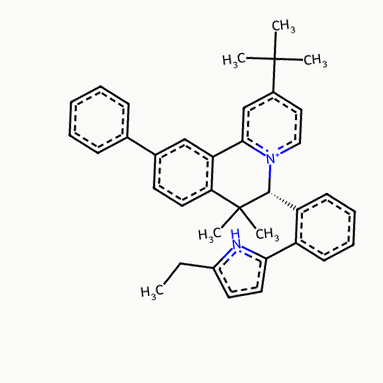 CCc1ccc(-c2ccccc2[C@H]2[n+]3ccc(C(C)(C)C)cc3-c3cc(-c4ccccc4)ccc3C2(C)C)[nH]1